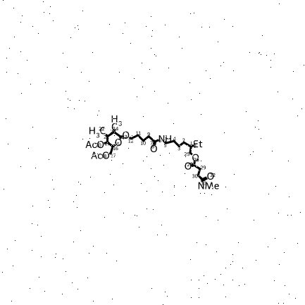 CCC(CCCCNC(=O)CCCCOC1OC(COC(C)=O)C(OC(C)=O)C(C)C1C)COC(=O)CCC(=O)NC